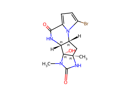 CN1C(=O)N[C@]2(C)C[C@@H]3[C@@H](NC(=O)c4ccc(Br)n43)[C@]12O